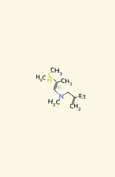 C=C(CC)CN(C)/C=C(\C)[SH](C)C